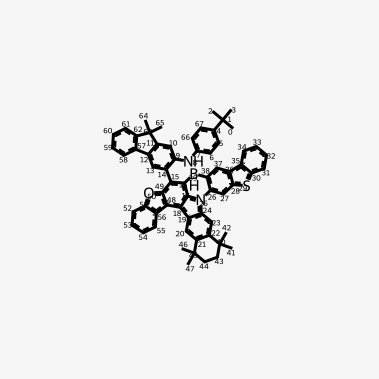 CC(C)(C)c1ccc(Nc2cc3c(cc2-c2c4c5c(c6cc7c(cc6n5-c5cc6sc8ccccc8c6cc5B4)C(C)(C)CCC7(C)C)c4c2oc2ccccc24)-c2ccccc2C3(C)C)cc1